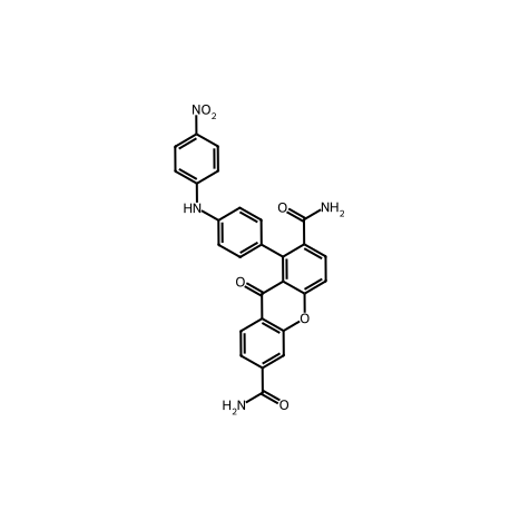 NC(=O)c1ccc2c(=O)c3c(-c4ccc(Nc5ccc([N+](=O)[O-])cc5)cc4)c(C(N)=O)ccc3oc2c1